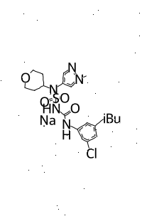 CCC(C)c1cc(Cl)cc(NC(=O)NS(=O)(=O)N(c2cnn(C)c2)C2CCOCC2)c1.[Na]